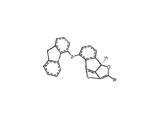 BrC1=C2SC3=C2[C@H](O1)c1ccc[c]([Zr][c]2cccc4c2-c2ccccc2C4)c13